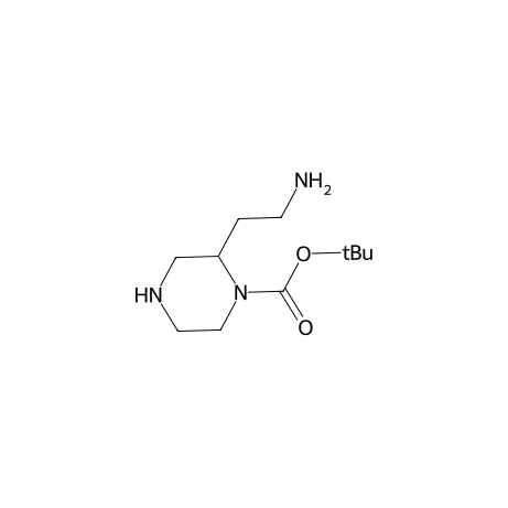 CC(C)(C)OC(=O)N1CCNCC1CCN